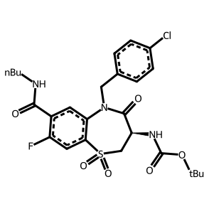 CCCCNC(=O)c1cc2c(cc1F)S(=O)(=O)C[C@H](NC(=O)OC(C)(C)C)C(=O)N2Cc1ccc(Cl)cc1